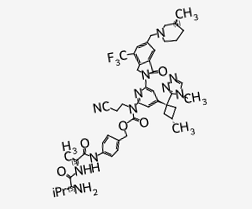 CC(C)[C@H](N)C(=O)N[C@@H](C)C(=O)Nc1ccc(COC(=O)N(CCC#N)c2cc([C@]3(c4nncn4C)C[C@@H](C)C3)cc(N3Cc4c(cc(CN5CCC[C@H](C)C5)cc4C(F)(F)F)C3=O)n2)cc1